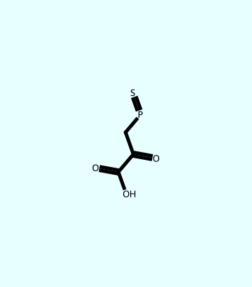 O=C(O)C(=O)CP=S